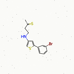 CC(=S)CCNc1csc(-c2cccc(Br)c2)c1